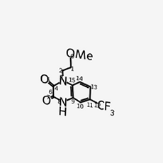 COCCn1c(=O)c(=O)[nH]c2cc(C(F)(F)F)ccc21